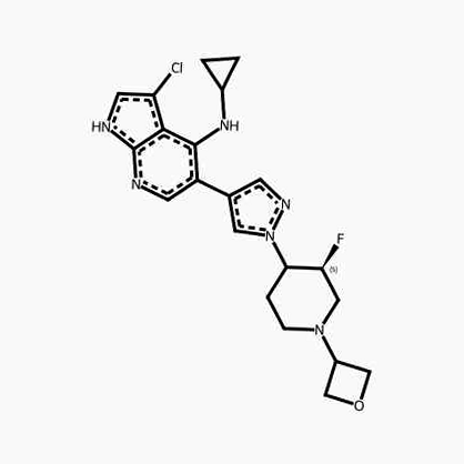 F[C@H]1CN(C2COC2)CCC1n1cc(-c2cnc3[nH]cc(Cl)c3c2NC2CC2)cn1